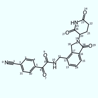 N#Cc1ccc(C(=O)C(=O)NCc2cccc3c2CN(C2CCC(=O)NC2=O)C3=O)cc1